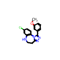 COc1cccc(-c2nnc3n2-c2ccc(Cl)cc2NCC3)c1